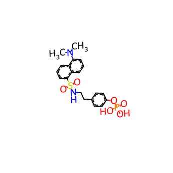 CN(C)c1cccc2c(S(=O)(=O)NCCc3ccc(OP(=O)(O)O)cc3)cccc12